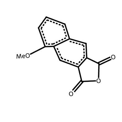 COc1cccc2cc3c(cc12)C(=O)OC3=O